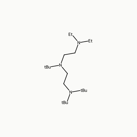 CCN(CC)CCN(CCN(C(C)(C)C)C(C)(C)C)C(C)(C)C